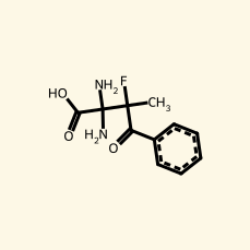 CC(F)(C(=O)c1ccccc1)C(N)(N)C(=O)O